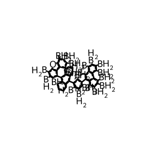 Bc1c(B)c(-c2c3ccccc3c(-c3c(B)c(B)c(B)c4oc5c(B)c(B)c(B)c(B)c5c34)c3ccccc23)c(B)c(-c2c(B)c3c(B)c(B)c(B)c(B)c3c3c(B)c(B)c(B)c(B)c23)c1B